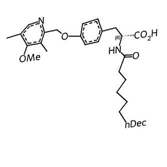 CCCCCCCCCCCCCCCC(=O)N[C@H](Cc1ccc(OCc2ncc(C)c(OC)c2C)cc1)C(=O)O